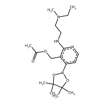 CCN(C)CCNc1nccc(B2OC(C)(C)C(C)(C)O2)c1COC(C)=O